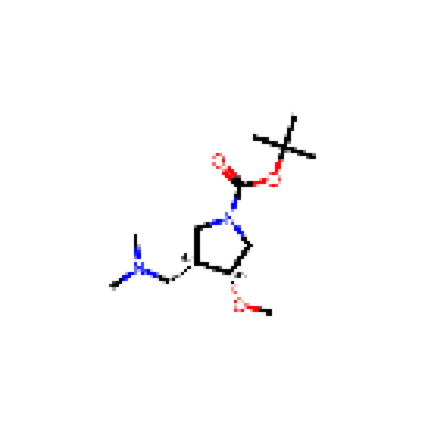 CO[C@H]1CN(C(=O)OC(C)(C)C)C[C@H]1CN(C)C